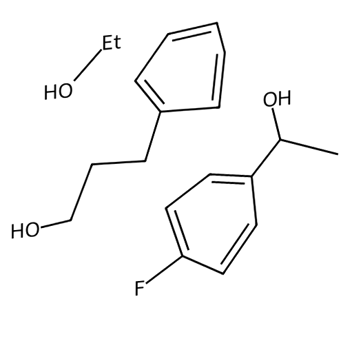 CC(O)c1ccc(F)cc1.CCO.OCCCc1ccccc1